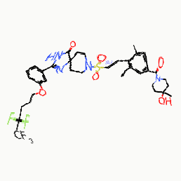 Cc1cc(C(=O)N2CCC(C)(O)CC2)cc(C)c1/C=C/S(=O)(=O)N1CCC2(CC1)N=C(c1cccc(OCCCC(F)(F)C(F)(F)F)c1)NC2=O